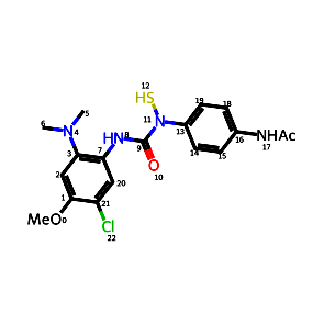 COc1cc(N(C)C)c(NC(=O)N(S)c2ccc(NC(C)=O)cc2)cc1Cl